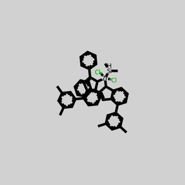 Cc1cc(C)cc(-c2cccc3c2C=C(c2ccccc2)[CH]3[Zr]([Cl])([Cl])([CH]2C(c3ccccc3)=Cc3c(-c4cc(C)cc(C)c4)cccc32)[SiH](C)C)c1